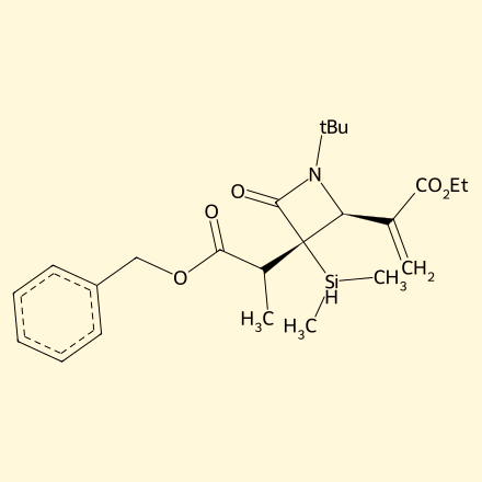 C=C(C(=O)OCC)[C@@H]1N(C(C)(C)C)C(=O)[C@@]1(C(C)C(=O)OCc1ccccc1)[SiH](C)C